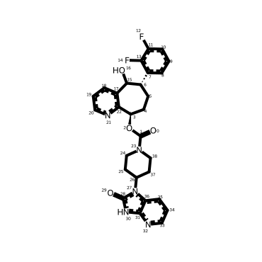 O=C(O[C@@H]1CC[C@@H](c2cccc(F)c2F)C(O)c2cccnc21)N1CCC(n2c(=O)[nH]c3ncccc32)CC1